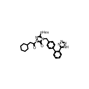 CCCCCCc1nn(C(=O)CC2CCCCC2)c(=O)n1Cc1ccc(-c2ccccc2-c2nnn[nH]2)cc1